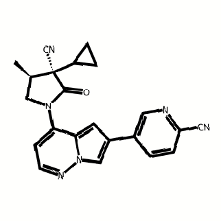 C[C@@H]1CN(c2ccnn3cc(-c4ccc(C#N)nc4)cc23)C(=O)[C@]1(C#N)C1CC1